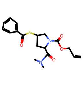 C=CCOC(=O)N1CC(SC(=O)c2ccccc2)CC1C(=O)N(C)C